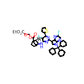 CCOC(=O)OCOC(=O)[C@H]1C2CCC(CC2)[C@@H]1Nc1nc(-c2cn(C(c3ccccc3)(c3ccccc3)c3ccccc3)c3ncc(F)nc23)nc(-c2cccs2)c1F